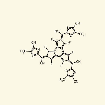 Cc1oc(/C(C#N)=C2\C(F)=c3c4c(c5c(c3=C2F)=C(F)/C(=C(/C#N)c2nc(C#N)c(C(F)(F)F)o2)C=5F)=C(F)/C(=C(/C#N)c2nc(C#N)c(C(F)(F)F)o2)C=4F)nc1C#N